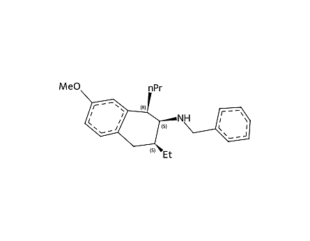 CCC[C@@H]1c2cc(OC)ccc2C[C@H](CC)[C@@H]1NCc1ccccc1